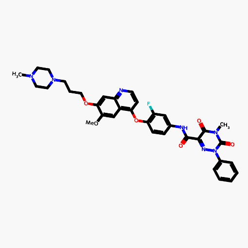 COc1cc2c(Oc3ccc(NC(=O)c4nn(-c5ccccc5)c(=O)n(C)c4=O)cc3F)ccnc2cc1OCCCN1CCN(C)CC1